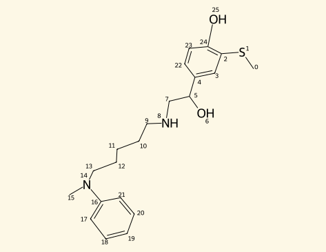 CSc1cc(C(O)CNCCCCCN(C)c2ccccc2)ccc1O